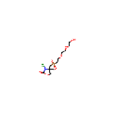 CC1(CS(=O)(=O)CCOCCOCCO)COC(=O)N1Cl